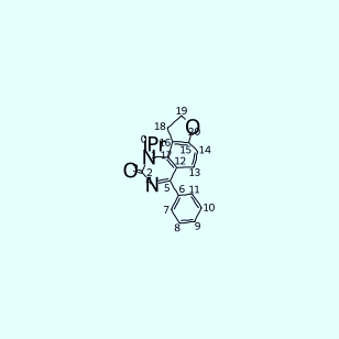 CC(C)n1c(=O)nc(-c2ccccc2)c2ccc3c(c21)CCO3